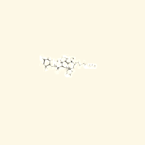 COCCCN1CC2(CCOC2)n2cc(C(=O)NCc3ccc(F)cc3F)c(=O)c(O)c2C1=O